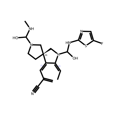 C=C(C#N)/C=C1\C(=C/C)N(C(O)Nc2ncc(F)s2)C[C@]12CCN(C(O)NC)C2